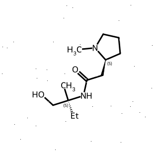 CC[C@@](C)(CO)NC(=O)C[C@@H]1CCCN1C